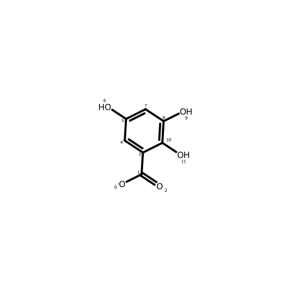 [O]C(=O)c1cc(O)cc(O)c1O